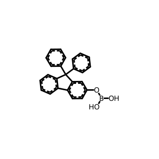 OB(O)Oc1ccc2c(c1)C(c1ccccc1)(c1ccccc1)c1ccccc1-2